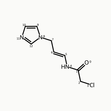 O=C(CCl)NC=CCn1ccnc1